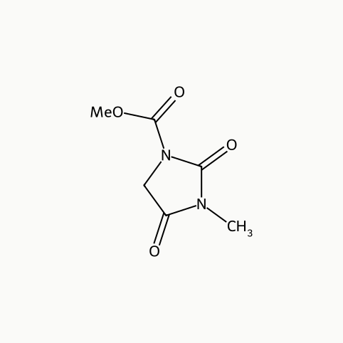 COC(=O)N1CC(=O)N(C)C1=O